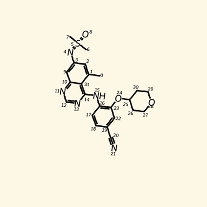 Cc1cc(N=S(C)(C)=O)cc2ncnc(Nc3ccc(C#N)cc3OC3CCOCC3)c12